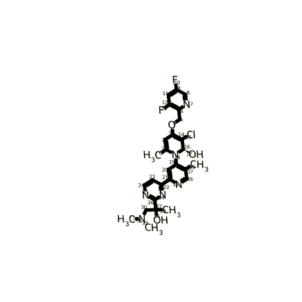 CC1=CC(OCc2ncc(F)cc2F)=C(Cl)[C@H](O)N1c1cc(-c2ccnc(C(C)(O)CN(C)C)n2)ncc1C